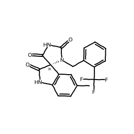 Cc1ccc2c(c1)[C@]1(C(=O)NC(=O)N1Cc1ccccc1C(F)(F)F)C(=O)N2